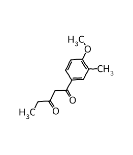 CCC(=O)CC(=O)c1ccc(OC)c(C)c1